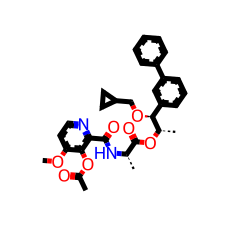 COc1ccnc(C(=O)N[C@@H](C)C(=O)O[C@@H](C)[C@H](OCC2CC2)c2cccc(-c3ccccc3)c2)c1OC(C)=O